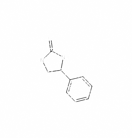 O=C1[N]CC(c2ccccc2)N1